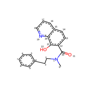 CN(CCc1ccccc1)C(=O)c1ccc2cccnc2c1O